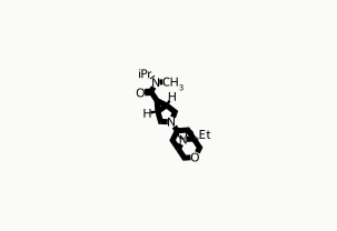 CCOC(=O)N1C2COCC1CC(N1C[C@@H]3C(C(=O)N(C)C(C)C)[C@@H]3C1)C2